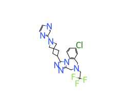 FC(F)(F)CN1Cc2cc(Cl)ccc2-n2c(nnc2C2CC3(C2)CN(c2cnccn2)C3)C1